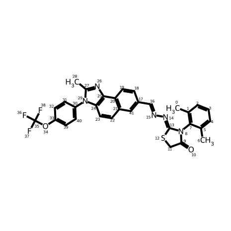 Cc1cccc(C)c1N1C(=O)CSC1=NN=Cc1ccc2c(ccc3c2nc(C)n3-c2ccc(OC(F)(F)F)cc2)c1